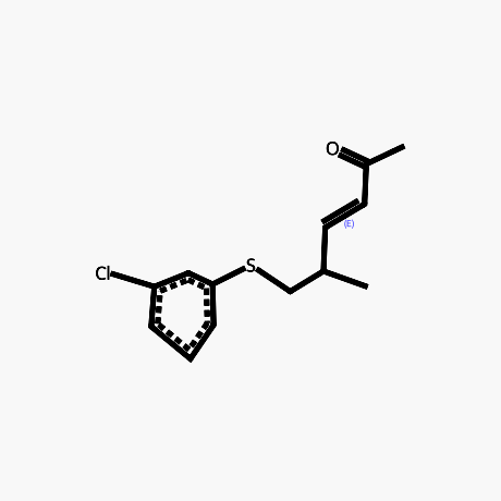 CC(=O)/C=C/C(C)CSc1cccc(Cl)c1